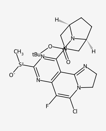 C[S+]([O-])c1nc2c(c(N3C[C@H]4CC[C@@H](C3)N4C(=O)OC(C)(C)C)n1)C1=NCCN1C(Cl)=C2F